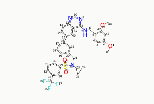 COc1ccc(CNc2ncnc3ccc(-c4cccc(CN(C5CC5)S(=O)(=O)c5cccc(C(F)(F)F)c5)c4)cc23)c(OC)c1